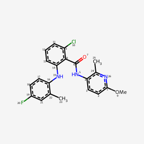 COc1ccc(NC(=O)c2c(Cl)cccc2Nc2ccc(F)cc2C)c(C)n1